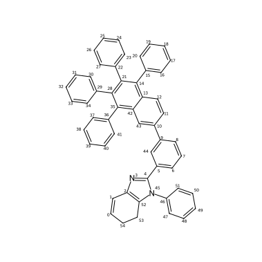 C1=Cc2nc(-c3cccc(-c4ccc5c(-c6ccccc6)c(-c6ccccc6)c(-c6ccccc6)c(-c6ccccc6)c5c4)c3)n(-c3ccccc3)c2CC1